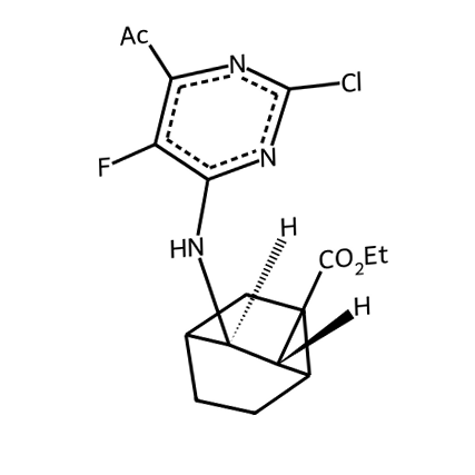 CCOC(=O)[C@@H]1C2CCC(CC2)[C@H]1Nc1nc(Cl)nc(C(C)=O)c1F